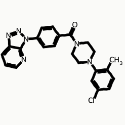 Cc1ccc(Cl)cc1N1CCN(C(=O)c2ccc(-n3nnc4cccnc43)cc2)CC1